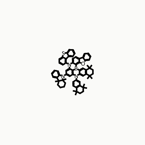 CC1(C)CCC(C)(C)c2cc(N3c4cc5c(cc4B4c6c3cc(N3c7ccccc7C7(C)CCCCC37C)cc6N(c3cccc6sc7ccccc7c36)c3ccc6c(oc7ccccc76)c34)C(C)(C)CCC5(C)C)ccc21